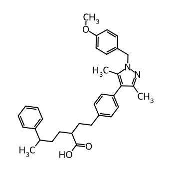 COc1ccc(Cn2nc(C)c(-c3ccc(CCC(CCC(C)c4ccccc4)C(=O)O)cc3)c2C)cc1